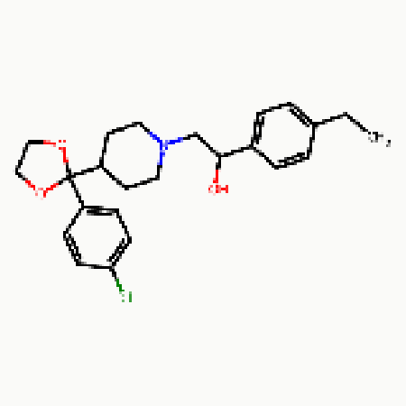 CCc1ccc(C(O)CN2CCC(C3(c4ccc(Cl)cc4)OCCO3)CC2)cc1